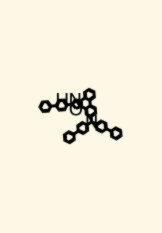 c1ccc(-c2ccc(C3Nc4c(c5cc(N(c6ccc(-c7ccccc7)cc6)c6ccc(-c7ccccc7)cc6)ccc5c5ccccc45)O3)cc2)cc1